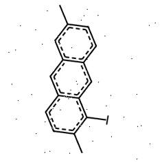 Cc1ccc2cc3c(I)c(C)ccc3cc2c1